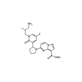 COC(=O)c1cnn2ccc(N3CCCC3c3cc(F)cn(CC(C)CN)c3=O)nc12